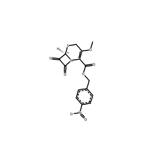 COC1=C(C(=O)OCc2ccc([N+](=O)[O-])cc2)N2C(=O)C(=O)[C@H]2SC1